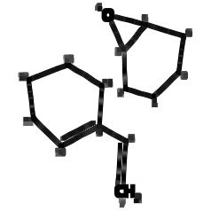 C1CCC2OC2C1.C=CC1=CCCCC1